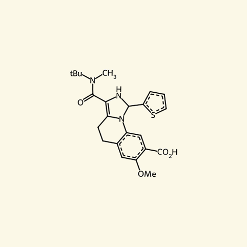 COc1cc2c(cc1C(=O)O)N1C(=C(C(=O)N(C)C(C)(C)C)NC1c1cccs1)CC2